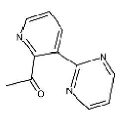 CC(=O)c1ncccc1-c1ncccn1